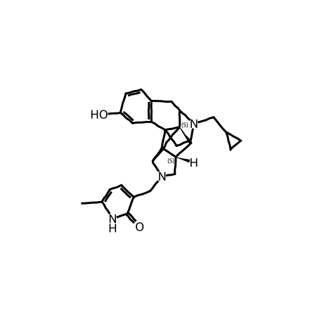 Cc1ccc(CN2C[C@H]3C[C@@]45CCC2C3C42CCN(CC3CC3)C5Cc3ccc(O)cc32)c(=O)[nH]1